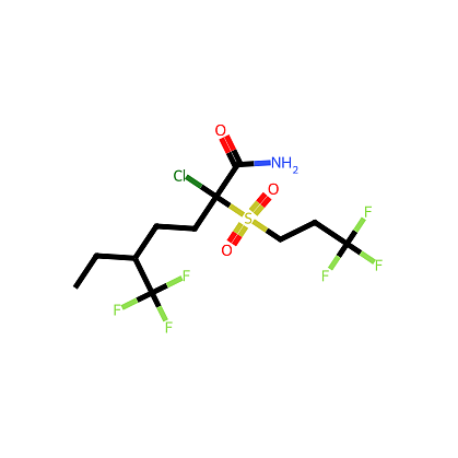 CCC(CCC(Cl)(C(N)=O)S(=O)(=O)CCC(F)(F)F)C(F)(F)F